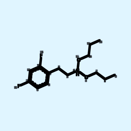 CCCO[SiH](CCc1ccc(F)cc1F)OCCC